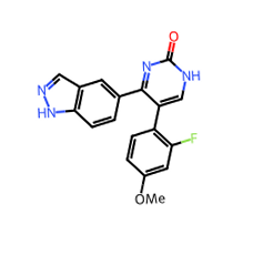 COc1ccc(-c2c[nH]c(=O)nc2-c2ccc3[nH]ncc3c2)c(F)c1